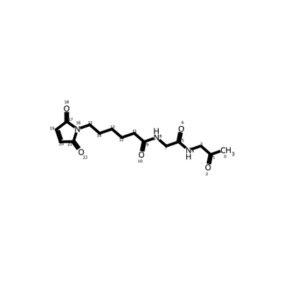 CC(=O)CNC(=O)CNC(=O)CCCCCN1C(=O)C=CC1=O